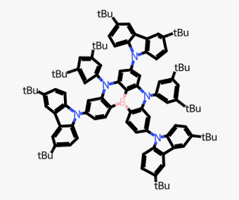 CC(C)(C)c1cc(N2c3cc(-n4c5ccc(C(C)(C)C)cc5c5cc(C(C)(C)C)ccc54)ccc3B3c4ccc(-n5c6ccc(C(C)(C)C)cc6c6cc(C(C)(C)C)ccc65)cc4N(c4cc(C(C)(C)C)cc(C(C)(C)C)c4)c4cc(-n5c6ccc(C(C)(C)C)cc6c6cc(C(C)(C)C)ccc65)cc2c43)cc(C(C)(C)C)c1